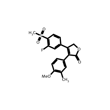 COc1ccc(C2=C(c3ccc(S(C)(=O)=O)c(F)c3)COC2=O)cc1C